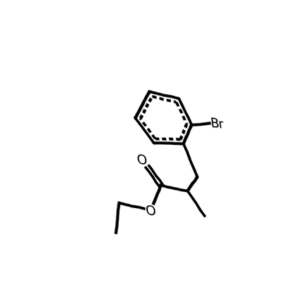 CCOC(=O)C(C)Cc1ccccc1Br